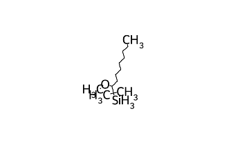 CCCCCCCCC(OC)C(C)(C)[SiH3]